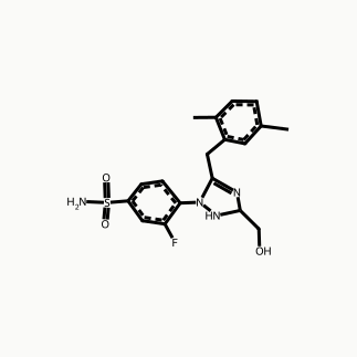 Cc1ccc(C)c(CC2=NC(CO)NN2c2ccc(S(N)(=O)=O)cc2F)c1